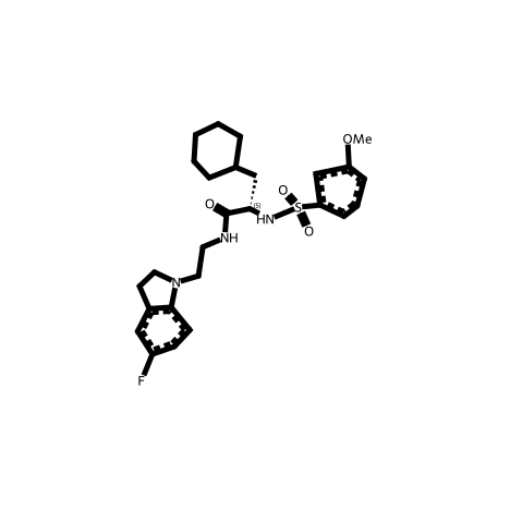 COc1cccc(S(=O)(=O)N[C@@H](CC2CCCCC2)C(=O)NCCN2CCc3cc(F)ccc32)c1